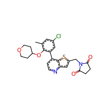 Cc1cc(Cl)cc(-c2ccnc3cc(CN4C(=O)CCC4=O)sc23)c1OC1CCOCC1